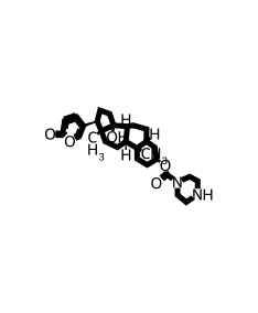 C[C@]12CC[C@H](OC(=O)N3CCNCC3)C[C@H]1CC[C@@H]1[C@@H]2CC[C@]2(C)[C@@H](c3c#cc(=O)oc3)CC[C@]12O